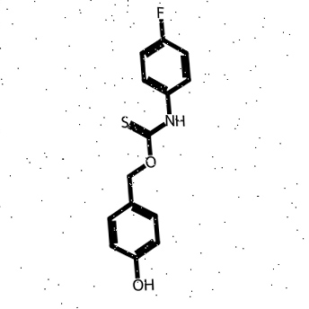 Oc1ccc(COC(=S)Nc2ccc(F)cc2)cc1